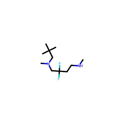 CNCCC(F)(F)CN(C)CC(C)(C)C